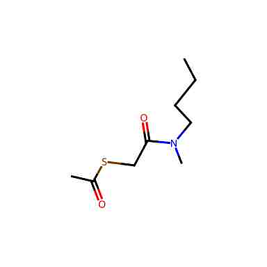 CCCCN(C)C(=O)CSC(C)=O